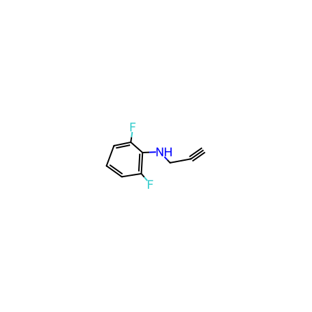 C#CCNc1c(F)cccc1F